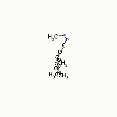 CCCCC/C=C\C/C=C\CCCCCCCCOCCCOC(=O)CC1CCC(OC(=O)CCCN(C)C)C1C